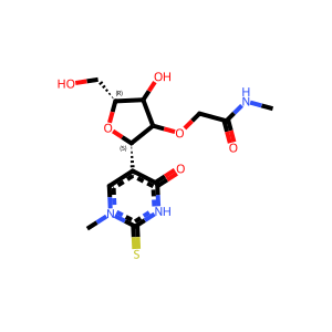 CNC(=O)COC1C(O)[C@@H](CO)O[C@H]1c1cn(C)c(=S)[nH]c1=O